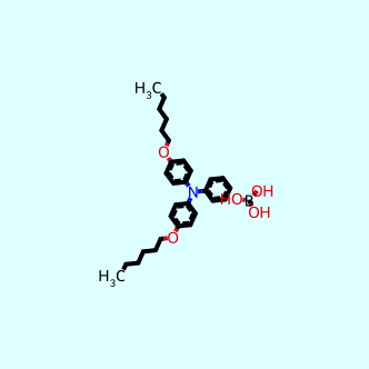 CCCCCCOc1ccc(N(c2ccccc2)c2ccc(OCCCCCC)cc2)cc1.OB(O)O